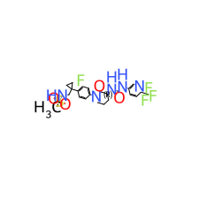 CS(=O)(=O)NCC1(c2ccc(N3CCC[C@@H](NC(=O)Nc4ccc(C(F)(F)F)nc4)C3=O)cc2F)CC1